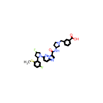 CSc1ccc(F)cc1C1CC(F)CN1c1ccc2ncc(C(=O)NC3CCN(Cc4cccc(C(=O)O)c4)C3)n2n1